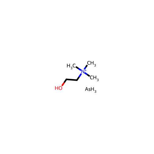 C[N+](C)(C)CCO.[AsH3]